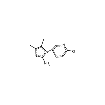 Cc1nc(N)n(-c2ccc(Cl)nc2)c1C